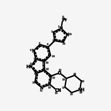 CC(C)n1cc(-c2cnc3[nH]c4cnc(C#N)c(OC5CCNCC5)c4c3c2)cn1